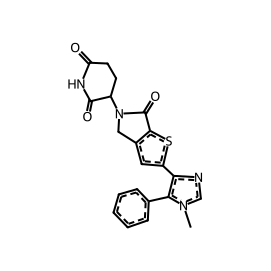 Cn1cnc(-c2cc3c(s2)C(=O)N(C2CCC(=O)NC2=O)C3)c1-c1ccccc1